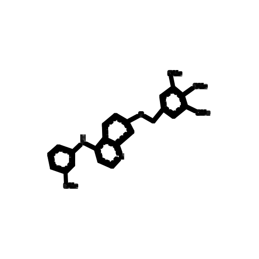 COc1cccc(Nc2ccnc3cc(OCc4cc(OC)c(OC)c(OC)c4)ccc23)c1